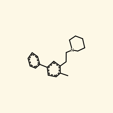 Cc1ccc(-c2ccccc2)cc1CCN1CCCCC1